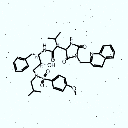 COc1ccc(S(=O)(=O)N(CC(C)C)C[C@@H](O)[C@H](Cc2ccccc2)NC(=O)[C@@H](C(C)C)C2NC(=O)N(Cc3ccc4ccccc4n3)C2=O)cc1